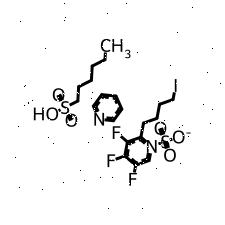 CCCCCCS(=O)(=O)O.O=S(=O)([O-])[n+]1cc(F)c(F)c(F)c1CCCCI.c1ccncc1